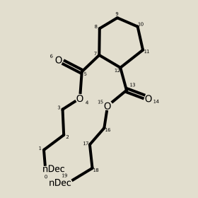 CCCCCCCCCCCCCOC(=O)C1CCCCC1C(=O)OCCCCCCCCCCCCC